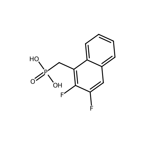 O=P(O)(O)Cc1c(F)c(F)cc2ccccc12